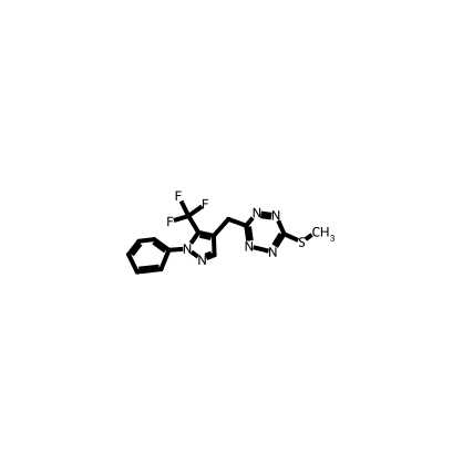 CSc1nnc(Cc2cnn(-c3ccccc3)c2C(F)(F)F)nn1